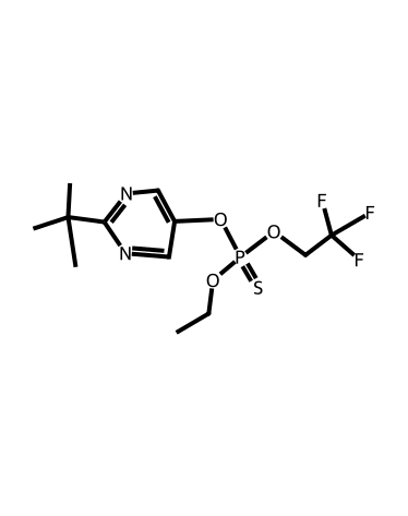 CCOP(=S)(OCC(F)(F)F)Oc1cnc(C(C)(C)C)nc1